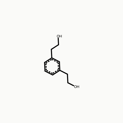 OCCc1c[c]cc(CCO)c1